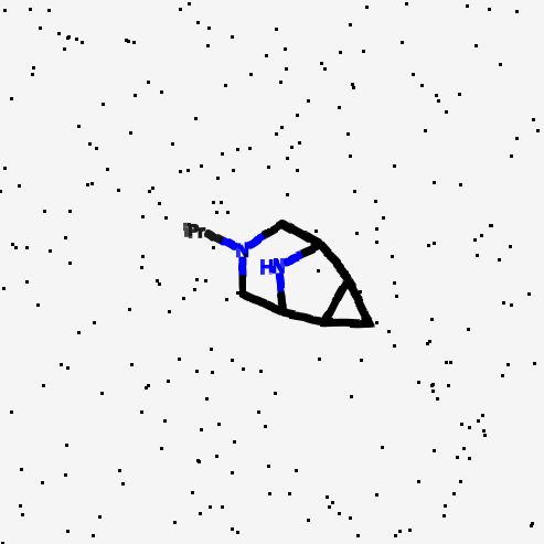 CC(C)N1CC2NC(C1)C1CC21